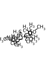 C=CN(C)[C@H](/C=C(C)/C=C(C)\C(OC)=C(/C)OCOC)C(Cc1c(O)c(C)c(OCCC)c(C)c1CC)C(CC)CC